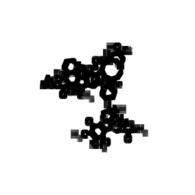 CC[C@]1(O)C[C@@H]2C[N@@](CCc3c([nH]c4ccccc34)[C@@](C(=O)OC)(c3cc4c(cc3OC)N(C)[C@H]3[C@@](O)(C(=O)OC)[C@H](OC(C)=O)[C@]5(CC)C=CCN6CC[C@]43[C@@H]65)C2)C1.CO[C@@]12[C@H](COC(N)=O)C3=C(C(=O)C(C)=C(N)C3=O)N1C[C@@H]1N[C@@H]12